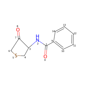 O=C(NC1CSCC1=O)c1ccccc1